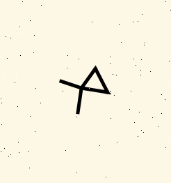 CC1(C)[C]C1